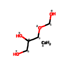 OCOCC(O)CO.[CaH2]